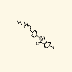 NCCc1ccc(NC(=O)c2ccc(I)cc2)cc1